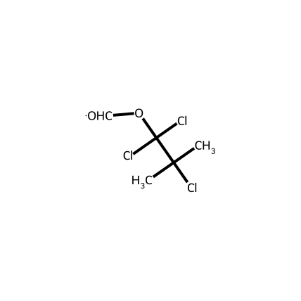 CC(C)(Cl)C(Cl)(Cl)O[C]=O